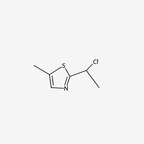 Cc1cnc(C(C)Cl)s1